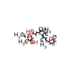 C/C=C/[C@@H]1O[C@H](C(O)/C=C/C=C(\C)C[C@@H](C)/C=C(C)\C=C\[C@H]2CC=CC(=O)O2)C[C@@H](O)[C@@H]1C